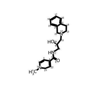 CN1C=CC(C(=O)NC[C@@H](O)CN2CCc3ccccc3C2)=CC1